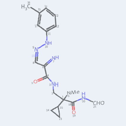 CNC(CNC(=O)C(=N)/C=N\Nc1cccc(C)c1)(C(=O)NC=O)C1CC1